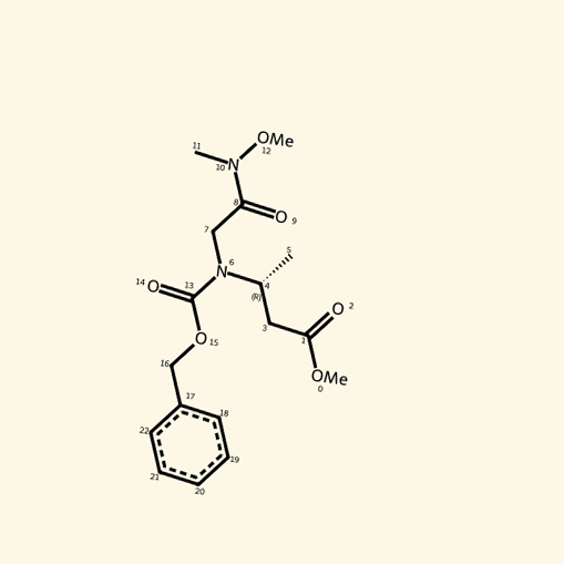 COC(=O)C[C@@H](C)N(CC(=O)N(C)OC)C(=O)OCc1ccccc1